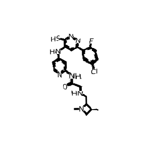 C[C@H]1CN(C)C1CNCC(=O)Nc1cc(Nc2cc(-c3cc(Cl)ccc3F)nnc2S)ccn1